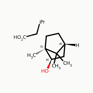 CC(C)CC(=O)O.CC1(C)[C@@H]2CC[C@]1(C)[C@H](O)C2